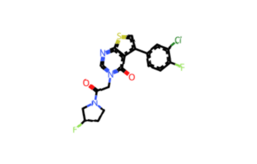 O=C(Cn1cnc2scc(-c3ccc(F)c(Cl)c3)c2c1=O)N1CCC(F)C1